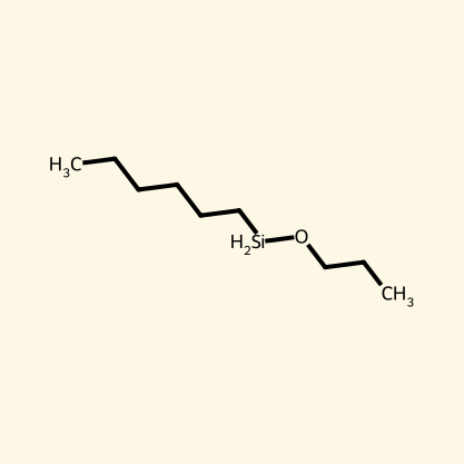 CCCCCC[SiH2]OCCC